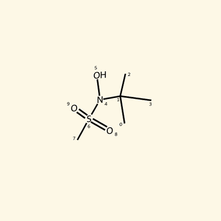 CC(C)(C)N(O)S(C)(=O)=O